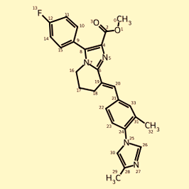 COC(=O)c1nc2n(c1-c1ccc(F)cc1)CCC/C2=C\c1ccc(-n2cnc(C)c2)c(C)c1